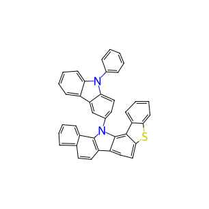 c1ccc(-n2c3ccccc3c3cc(-n4c5c6ccccc6ccc5c5ccc6sc7ccccc7c6c54)ccc32)cc1